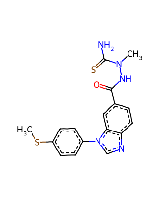 CSc1ccc(-n2cnc3ccc(C(=O)NN(C)C(N)=S)cc32)cc1